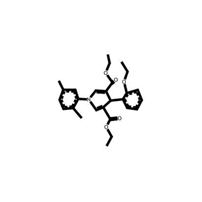 CCOC(=O)C1=CN(c2cc(C)ccc2C)C=C(C(=O)OCC)C1c1ccccc1OCC